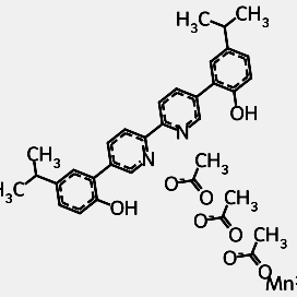 CC(=O)[O-].CC(=O)[O-].CC(=O)[O-].CC(C)c1ccc(O)c(-c2ccc(-c3ccc(-c4cc(C(C)C)ccc4O)cn3)nc2)c1.[Mn+3]